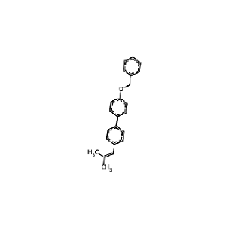 CC(C)=Cc1ccc(-c2ccc(OCc3ccccc3)cc2)cc1